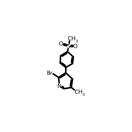 Cc1cnc(Br)c(-c2ccc(S(C)(=O)=O)cc2)c1